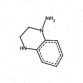 [InH2][N]1CCNc2ccccc21